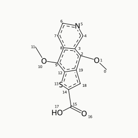 COc1c2cnccc2c(OC)c2sc(C(=O)O)cc12